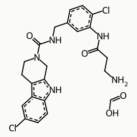 NCCC(=O)Nc1cc(CNC(=O)N2CCc3c([nH]c4ccc(Cl)cc34)C2)ccc1Cl.O=CO